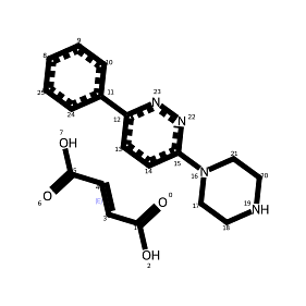 O=C(O)/C=C/C(=O)O.c1ccc(-c2ccc(N3CCNCC3)nn2)cc1